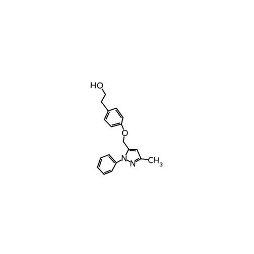 Cc1cc(COc2ccc(CCO)cc2)n(-c2ccccc2)n1